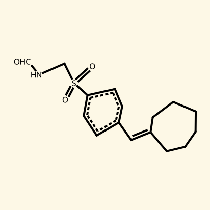 O=CNCS(=O)(=O)c1ccc(C=C2CCCCCC2)cc1